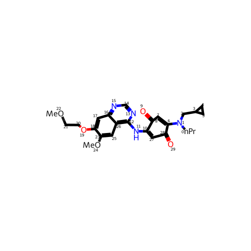 CCCN(CC1CC1)C1=CC(=O)C(Nc2ncnc3cc(OCCOC)c(OC)cc23)=CC1=O